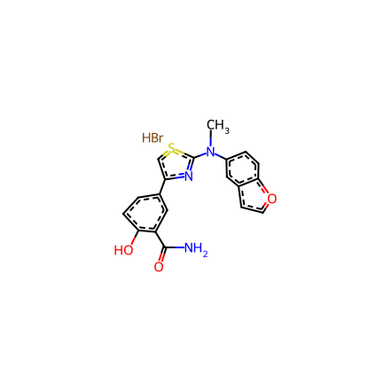 Br.CN(c1ccc2occc2c1)c1nc(-c2ccc(O)c(C(N)=O)c2)cs1